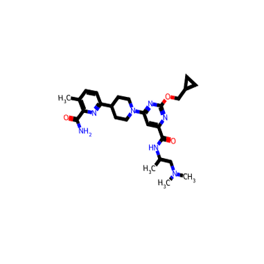 Cc1ccc(C2CCN(c3cc(C(=O)NC(C)CN(C)C)nc(OCC4CC4)n3)CC2)nc1C(N)=O